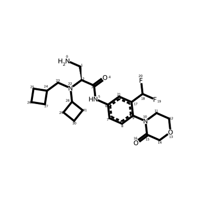 NC[C@@H](C(=O)Nc1ccc(N2CCOCC2=O)c(C(F)F)c1)N(CC1CCC1)C1CCC1